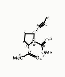 CC#C[C@H]1CC[C@@H](C(=O)OC)N1C(=O)OC